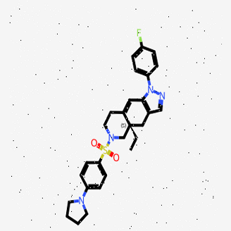 CC[C@]12Cc3cnn(-c4ccc(F)cc4)c3C=C1CCN(S(=O)(=O)c1ccc(N3CCCC3)cc1)C2